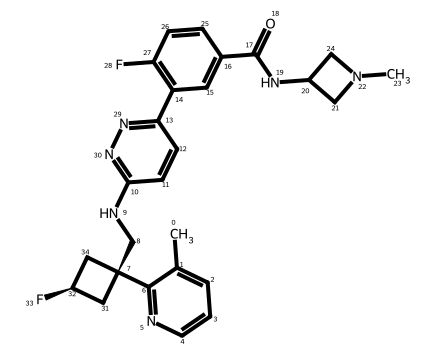 Cc1cccnc1[C@]1(CNc2ccc(-c3cc(C(=O)NC4CN(C)C4)ccc3F)nn2)C[C@@H](F)C1